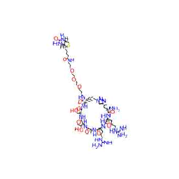 CC(O)[C@@H]1NC(=O)[C@H](C)NC(=O)[C@H](CCCNC(=N)N)NC(=O)[C@H](CCCNC(=N)N)NC(=O)[C@@H](N)Cc2cn(nn2)CCCC[C@@H](C(=O)NCCCOCCOCCOCCCNC(=O)CCCC[C@H]2SC[C@H]3NC(=O)N[C@H]32)NC(=O)[C@H](CO)NC1=O